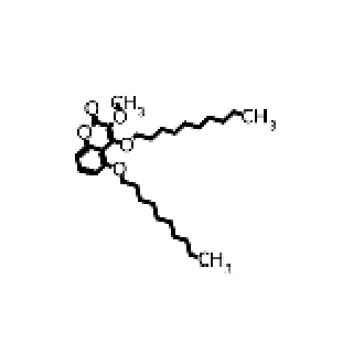 CCCCCCCCCCOc1cccc2oc(=O)c(OC)c(OCCCCCCCCCC)c12